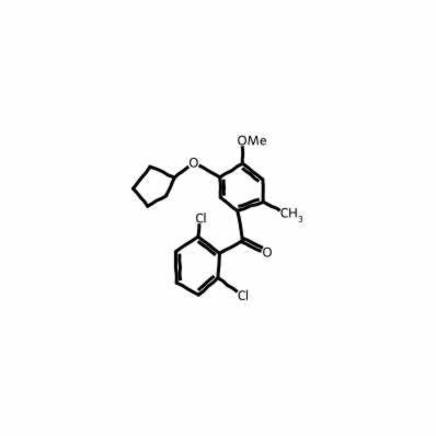 COc1cc(C)c(C(=O)c2c(Cl)cccc2Cl)cc1OC1CCCC1